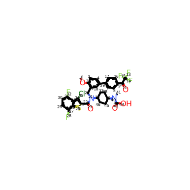 COc1ccc(-c2ccc(C(=O)C(F)(F)F)cc2)cc1CN(C(=O)c1sc2c(F)ccc(F)c2c1Cl)C1CCC(N(C)C(=O)O)CC1